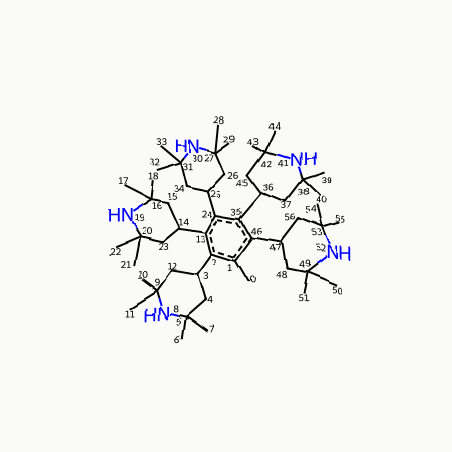 Cc1c(C2CC(C)(C)NC(C)(C)C2)c(C2CC(C)(C)NC(C)(C)C2)c(C2CC(C)(C)NC(C)(C)C2)c(C2CC(C)(C)NC(C)(C)C2)c1C1CC(C)(C)NC(C)(C)C1